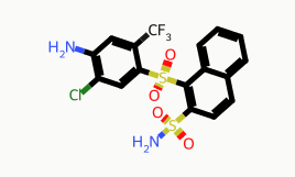 Nc1cc(C(F)(F)F)c(S(=O)(=O)c2c(S(N)(=O)=O)ccc3ccccc23)cc1Cl